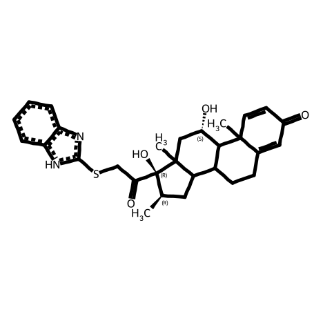 C[C@@H]1CC2C3CCC4=CC(=O)C=CC4(C)C3[C@@H](O)CC2(C)[C@@]1(O)C(=O)CSc1nc2ccccc2[nH]1